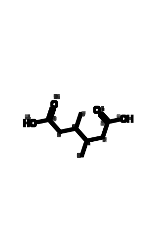 CC(CC(=O)O)C(C)CC(=O)O